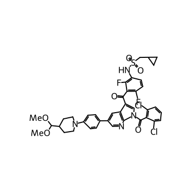 COC(OC)C1CCN(c2ccc(-c3cnc4c(c3)c(C(=O)c3c(F)ccc(NS(=O)(=O)CC5CC5)c3F)cn4C(=O)c3c(Cl)cccc3Cl)cc2)CC1